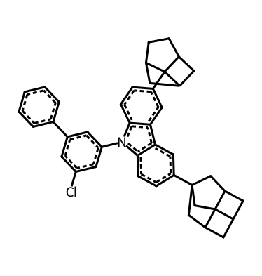 Clc1cc(-c2ccccc2)cc(-n2c3ccc(C45CC6CC7CC(C4)C76C5)cc3c3cc(C45C6CCC4CC5C6)ccc32)c1